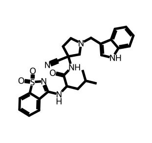 CC(C)CC(NC1=NS(=O)(=O)c2ccccc21)C(=O)NC1(C#N)CCN(Cc2c[nH]c3ccccc23)C1